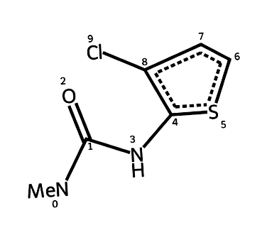 CNC(=O)Nc1sccc1Cl